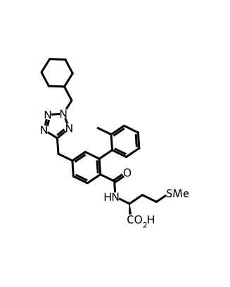 CSCC[C@H](NC(=O)c1ccc(Cc2nnn(CC3CCCCC3)n2)cc1-c1ccccc1C)C(=O)O